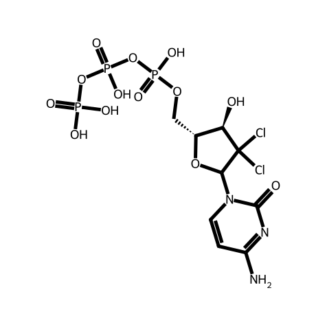 Nc1ccn(C2O[C@H](COP(=O)(O)OP(=O)(O)OP(=O)(O)O)[C@@H](O)C2(Cl)Cl)c(=O)n1